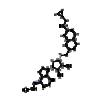 CN/N=c1\nc[nH]c2c1ccn2[C@@H]1C[C@H](CCc2ccc3ccc(NCC4CC4)nc3c2)[C@@H](O)[C@H]1O